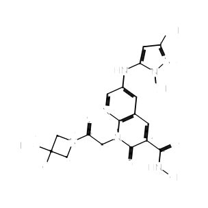 CNC(=O)c1cc2cc(Nc3cc(C)nn3C)cnc2n(CC(=O)N2CC(C)(C)C2)c1=O